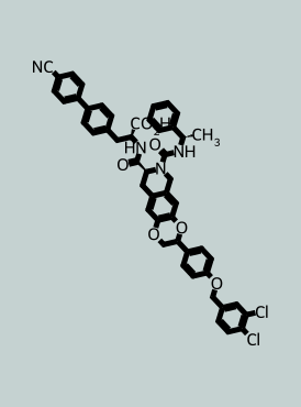 C[C@H](NC(=O)N1Cc2cc3c(cc2C[C@H]1C(=O)N[C@@H](Cc1ccc(-c2ccc(C#N)cc2)cc1)C(=O)O)OCC(c1ccc(OCc2ccc(Cl)c(Cl)c2)cc1)O3)c1ccccc1